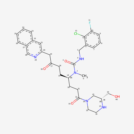 CN(C(=O)NCc1cccc(F)c1Cl)[C@H](CCC(=O)Cc1cc2ccccc2cn1)CCC(=O)N1CCN[C@@H](CO)C1